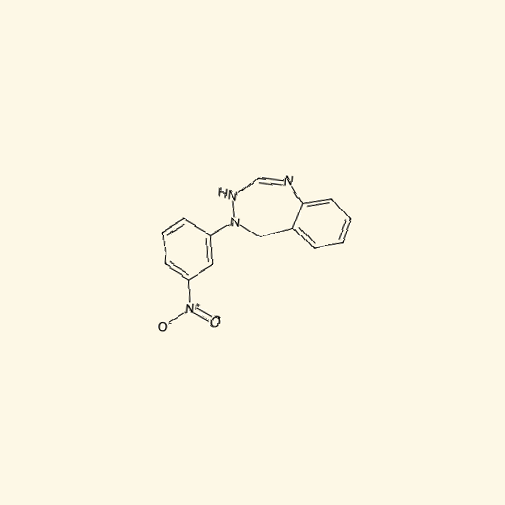 O=[N+]([O-])c1cccc(N2Cc3ccccc3N=CN2)c1